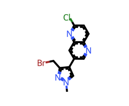 Cn1cc(-c2cnc3ccc(Cl)nc3c2)c(CBr)n1